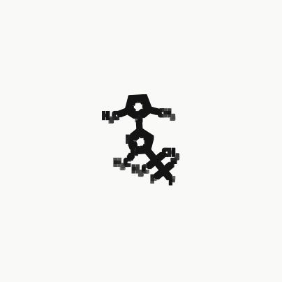 Cc1ccc(C)n1-c1cc(C(C)(C)C(F)(F)F)n(C)n1